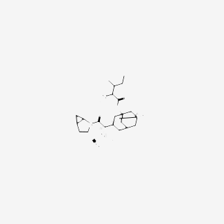 CCC(C)C(N)C(=O)O[C@]12CC3C[C@H](C1)C[C@@]([C@H](N)C(=O)N1C4CC4C[C@H]1C#N)(C3)C2